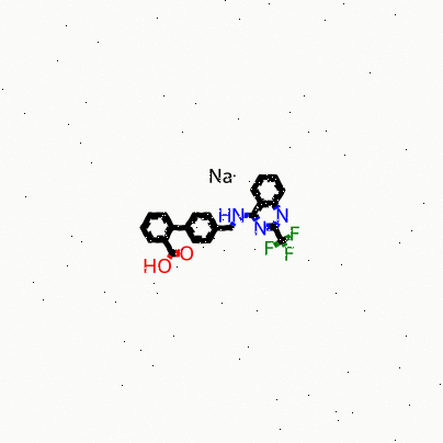 O=C(O)c1ccccc1-c1ccc(CNc2nc(C(F)(F)F)nc3ccccc23)cc1.[Na]